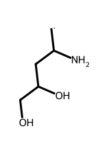 [CH2]C(N)CC(O)CO